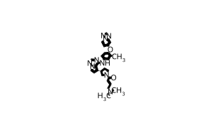 Cc1cc(Nc2ncnn3ccc([C@@H]4CCN(C(=O)/C=C/CN(C)C)C4)c23)ccc1Oc1ccn2ncnc2c1